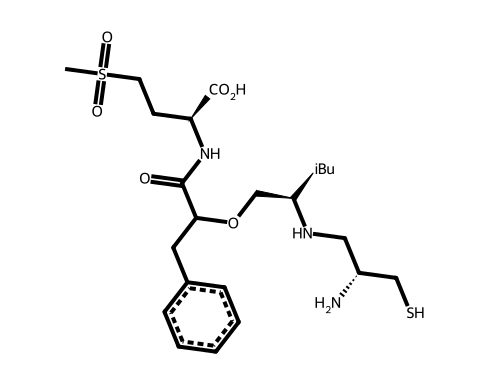 CC[C@H](C)[C@H](COC(Cc1ccccc1)C(=O)N[C@@H](CCS(C)(=O)=O)C(=O)O)NC[C@@H](N)CS